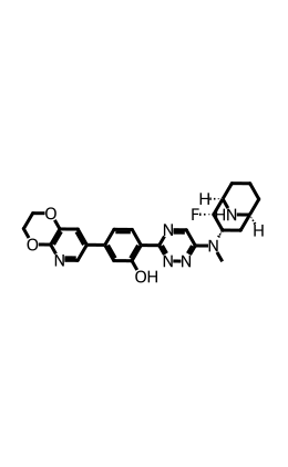 CN(c1cnc(-c2ccc(-c3cnc4c(c3)OCCO4)cc2O)nn1)[C@H]1C[C@@H]2CCC[C@@H](N2)[C@H]1F